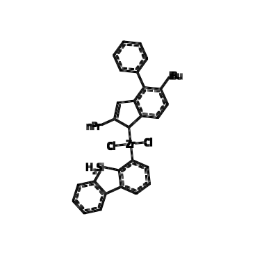 CCCC1=Cc2c(ccc(C(C)CC)c2-c2ccccc2)[CH]1[Zr]([Cl])([Cl])[c]1cccc2c1[SiH2]c1ccccc1-2